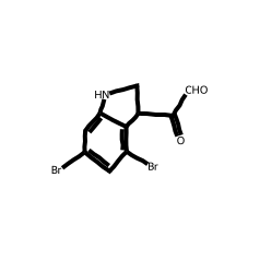 O=CC(=O)C1CNc2cc(Br)cc(Br)c21